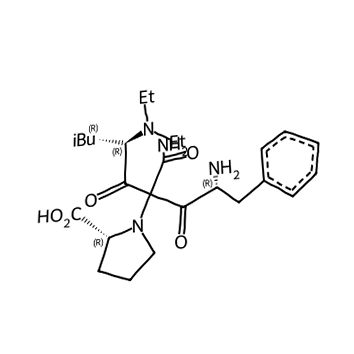 CC[C@@H](C)[C@H](C(=O)C(C(N)=O)(C(=O)[C@H](N)Cc1ccccc1)N1CCC[C@@H]1C(=O)O)N(CC)CC